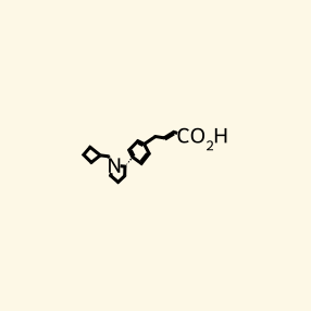 O=C(O)/C=C/Cc1ccc([C@@H]2CCCN2CC2CCC2)cc1